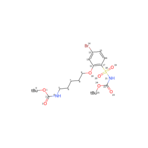 CC(C)(C)OC(=O)NCCCCCOc1cc(Br)ccc1S(=O)(=O)NC(=O)OC(C)(C)C